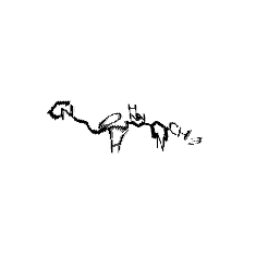 Cc1cncc(-c2cc(NC(=O)CCCN3CCCC3)[nH]n2)c1